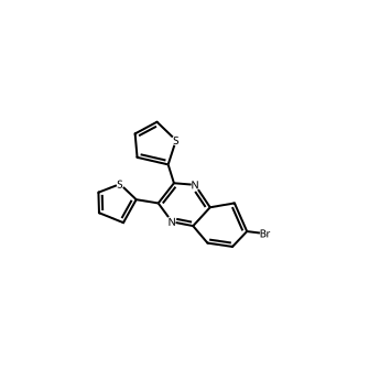 Brc1ccc2nc(-c3cccs3)c(-c3cccs3)nc2c1